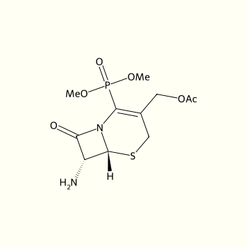 COP(=O)(OC)C1=C(COC(C)=O)CS[C@@H]2[C@H](N)C(=O)N12